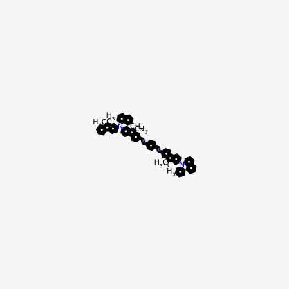 CC1(C)c2ccccc2-c2ccc(N(c3ccc4c(c3)C(C)(C)c3cc(/C=C/c5ccc(/C=C/c6ccc7c(c6)C(C)(C)c6cc(N(c8ccccc8)c8cccc9ccccc89)ccc6-7)cc5)ccc3-4)c3cccc4ccccc34)cc21